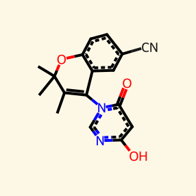 CC1=C(n2cnc(O)cc2=O)c2cc(C#N)ccc2OC1(C)C